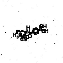 CC(C)C[C@H](NC(=O)c1ccc(B(O)O)cc1)C(=O)N(C)C#N